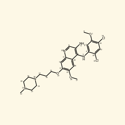 COc1cc(Nc2c(N)cnc3cc(OCCCN4CCN(C)CC4)c(OC)cc23)c(Cl)cc1Cl